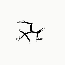 CCCCCC=C(C(=O)OC)C(F)(F)C(F)(F)F